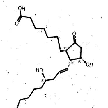 CCCCCC[C@@H](O)CC=C[C@H]1[C@H](O)CC(=O)[C@@H]1CCCCCCC(=O)O